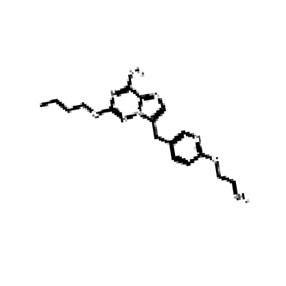 CCCCOc1nc(N)c2ncc(Cc3ccc(OCCN)nc3)n2n1